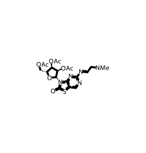 CNC/C=N/c1ncc2sc(=O)n([C@@H]3O[C@H](COC(C)=O)[C@@H](OC(C)=O)[C@H]3OC(C)=O)c2n1